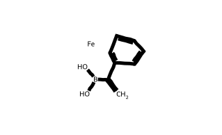 C=C(B(O)O)c1ccccc1.[Fe]